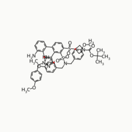 COc1ccc(CN(Cc2ccc(OC)cc2)S(=O)(=O)c2c(S(=O)(=O)C3CN(C(=O)OC(C)(C)C)C3)ccc(-c3cccc(N)c3N)c2-c2nnn(Cc3ccc(OC)cc3)n2)cc1